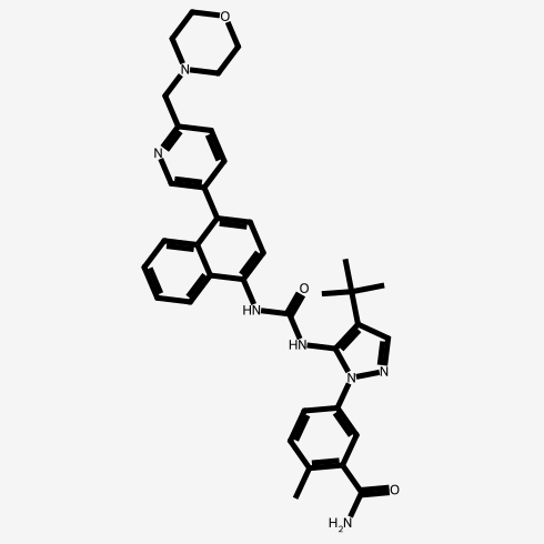 Cc1ccc(-n2ncc(C(C)(C)C)c2NC(=O)Nc2ccc(-c3ccc(CN4CCOCC4)nc3)c3ccccc23)cc1C(N)=O